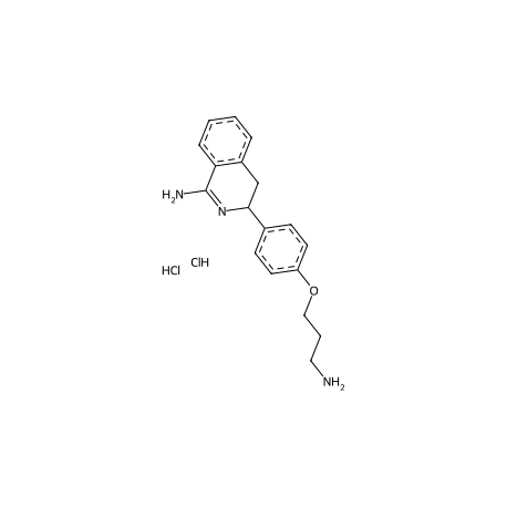 Cl.Cl.NCCCOc1ccc(C2Cc3ccccc3C(N)=N2)cc1